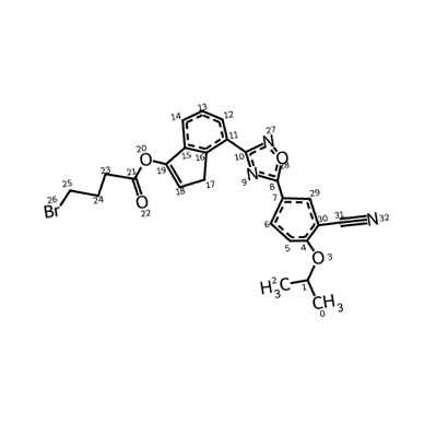 CC(C)Oc1ccc(-c2nc(-c3cccc4c3CC=C4OC(=O)CCCBr)no2)cc1C#N